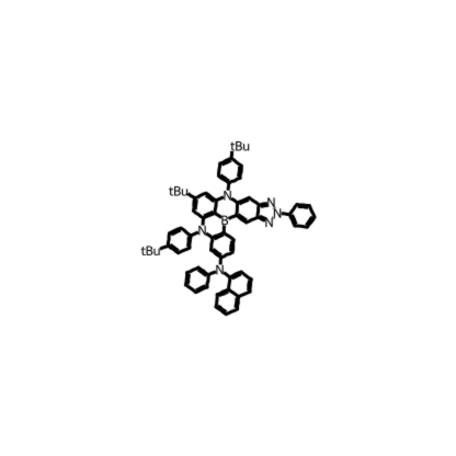 CC(C)(C)c1ccc(N2c3cc(N(c4ccccc4)c4cccc5ccccc45)ccc3B3c4cc5nn(-c6ccccc6)nc5cc4N(c4ccc(C(C)(C)C)cc4)c4cc(C(C)(C)C)cc2c43)cc1